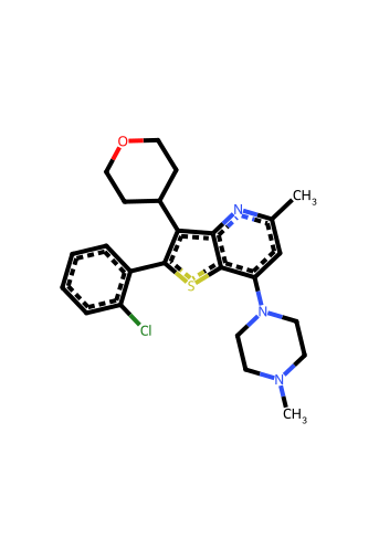 Cc1cc(N2CCN(C)CC2)c2sc(-c3ccccc3Cl)c(C3CCOCC3)c2n1